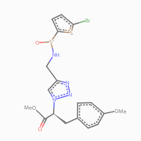 COC(=O)[C@H](Cc1ccc(OC)cc1)n1cc(CN[S+]([O-])c2ccc(Br)s2)nn1